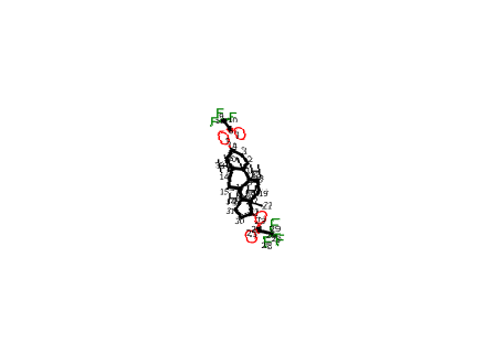 C[C@]12CC[C@H](OC(=O)C(F)(F)F)C[C@H]1CC[C@@H]1[C@@H]2CC[C@]2(C)[C@@H](OC(=O)C(F)(F)F)CC[C@@H]12